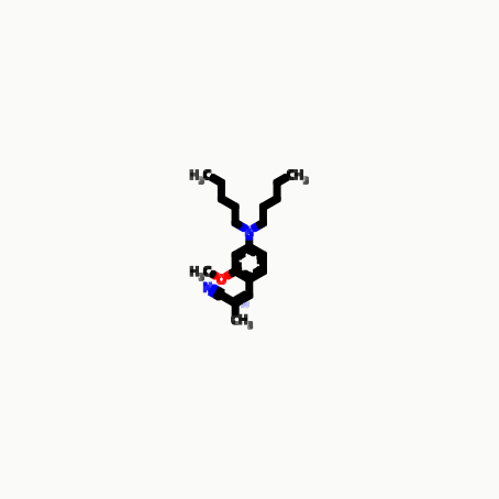 CCCCCN(CCCCC)c1ccc(/C=C(/C)C#N)c(OC)c1